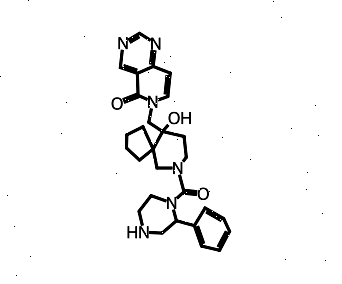 O=C(N1CCC(O)(Cn2ccc3ncncc3c2=O)C2(CCCC2)C1)N1CCNCC1c1ccccc1